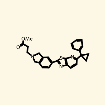 COC(=O)CCN1Cc2ccc(-c3nc4ccc(C5(c6ccccc6)CC5)nc4s3)cc2C1